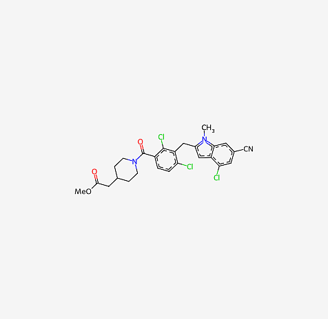 COC(=O)CC1CCN(C(=O)c2ccc(Cl)c(Cc3cc4c(Cl)cc(C#N)cc4n3C)c2Cl)CC1